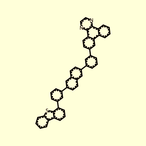 c1cc(-c2ccc3cc(-c4cccc(-c5cccc6c5sc5ccccc56)c4)ccc3c2)cc(-c2ccc3c(c2)c2ccccc2c2nccnc32)c1